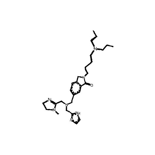 CCCN(CCC)CCCCN1Cc2ccc(CN(CC3=NCCN3C)Cc3ncc[nH]3)cc2C1=O